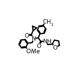 COc1ccccc1CN(C(=O)C1CC1)C(C(=O)NCC1CCCO1)c1ccc(C)cc1